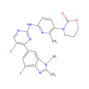 Cc1nc(Nc2ncc(F)c(-c3cc(F)c4nc(C)n(C(C)C)c4c3)n2)ccc1N1CCCOC1=O